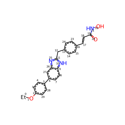 CCOc1ccc(-c2ccc3[nH]c(Cc4ccc(/C=C/C(=O)NO)cc4)nc3c2)cc1